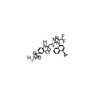 NS(=O)(=O)c1ccc(NC(=O)CSc2nnc(C(F)F)n2-c2ccc(C3CC3)c3ccccc23)c(Cl)c1